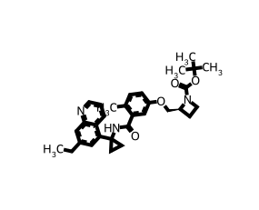 CCc1cc(C2(NC(=O)c3cc(OC[C@@H]4CCN4C(=O)OC(C)(C)C)ccc3C)CC2)c2cccnc2c1